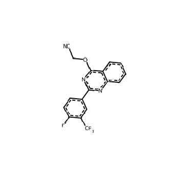 N#CCOc1nc(-c2ccc(F)c(C(F)(F)F)c2)nc2ccccc12